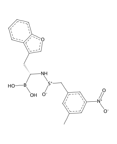 Cc1cc(C[S+]([O-])N[C@@H](Cc2coc3ccccc23)B(O)O)cc([N+](=O)[O-])c1